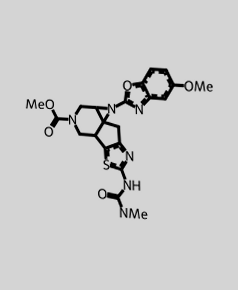 CNC(=O)Nc1nc2c(s1)C1CN(C(=O)OC)CC3N(c4nc5cc(OC)ccc5o4)C13C2